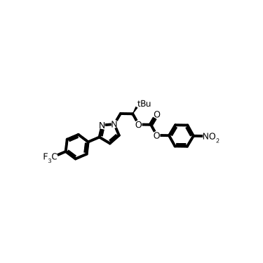 CC(C)(C)[C@H](Cn1ccc(-c2ccc(C(F)(F)F)cc2)n1)OC(=O)Oc1ccc([N+](=O)[O-])cc1